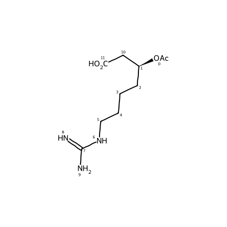 CC(=O)O[C@@H](CCCCNC(=N)N)CC(=O)O